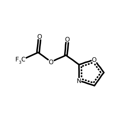 O=C(OC(=O)C(F)(F)F)c1ncco1